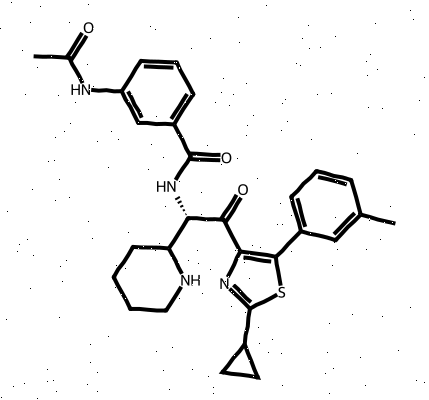 CC(=O)Nc1cccc(C(=O)N[C@H](C(=O)c2nc(C3CC3)sc2-c2cccc(C)c2)C2CCCCN2)c1